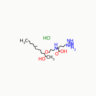 CCCCCCCCCC(OCCCN[C@@H](CCCNC(=N)N)C(=O)O)C(C)O.Cl